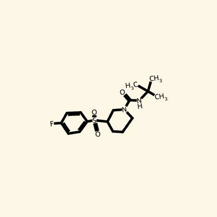 CC(C)(C)NC(=O)N1CCCC(S(=O)(=O)c2ccc(F)cc2)C1